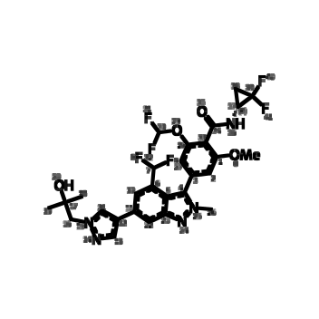 COc1cc(-c2c3c(C(F)F)cc(-c4cnn(CC(C)(C)O)c4)cc3nn2C)cc(OC(F)F)c1C(=O)N[C@@H]1CC1(F)F